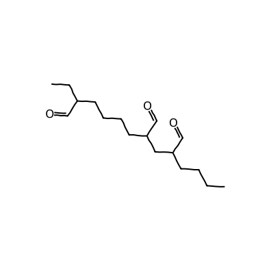 CCCCC(C=O)CC(C=O)CCCCC(C=O)CC